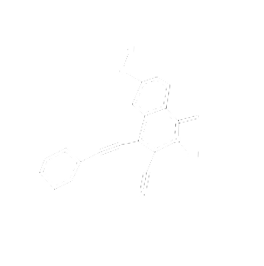 COc1ccc2c(=O)n(C)c(C#N)c(C#Cc3ccccc3)c2c1